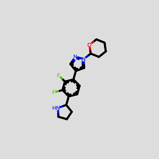 Fc1c(-c2cnn(C3CCCCO3)c2)ccc(C2CCCN2)c1F